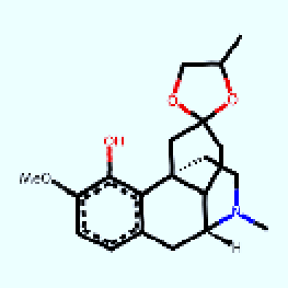 COc1ccc2c(c1O)[C@]13CCN(C)[C@H](C2)C1CCC1(C3)OCC(C)O1